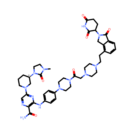 CN1CCN([C@@H]2CCCN(c3cnc(C(N)=O)c(Nc4ccc(N5CCN(C(=O)CN6CCN(CCc7cccc8c7CN(C7CCC(=O)NC7=O)C8=O)CC6)CC5)cc4)n3)C2)C1=O